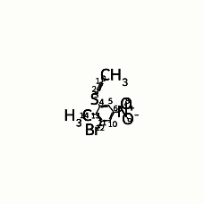 CC#CSc1cc([N+](=O)[O-])cc(Br)c1C